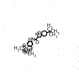 CC(C)(C)C1CCC2(CC1)CC(C(=O)Nc1ccc(N(S(C)(=O)=O)S(C)(=O)=O)c(F)c1)=NO2